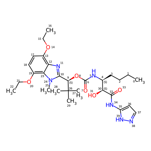 CCCC[C@H](NC(=O)O[C@H](c1nc2c(OCC)ccc(OCC)c2n1C)C(C)(C)C)[C@H](O)C(=O)Nc1ccn[nH]1